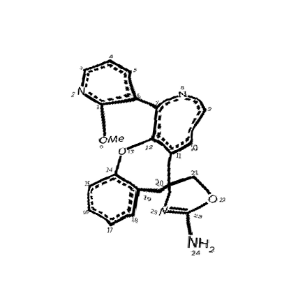 COc1ncccc1-c1nccc2c1Oc1ccccc1C21COC(N)=N1